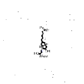 CCCCC[C@H](O)/C=C/[C@@H]1[C@H]2CC(CCCCCN(C(C)C)C(C)C)=C[C@H]2C[C@H]1O